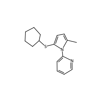 Cc1ccc(SC2CCCCC2)n1-c1ccccn1